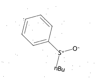 CCCC[S+]([O-])c1cc[c]cc1